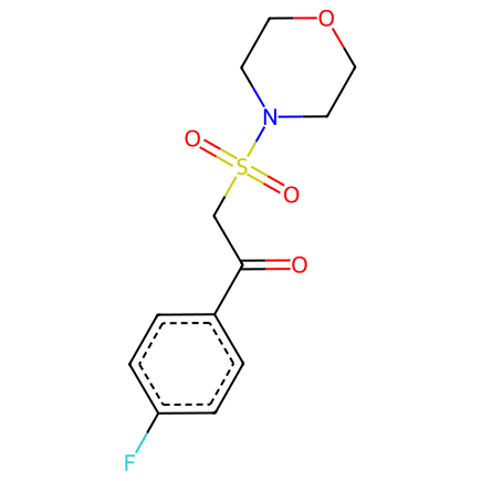 O=C(CS(=O)(=O)N1CCOCC1)c1ccc(F)cc1